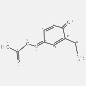 CC(=O)ON=C1C=CC(=O)C(CN)=C1